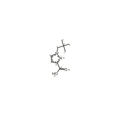 CC(C)(C)Cn1ccc(C(=O)O)n1